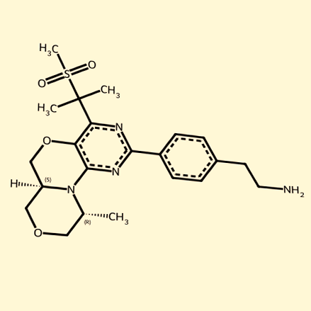 C[C@@H]1COC[C@H]2COc3c(nc(-c4ccc(CCN)cc4)nc3C(C)(C)S(C)(=O)=O)N21